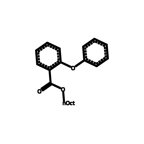 CCCCCCCCOC(=O)c1ccccc1Oc1ccccc1